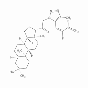 C=C(F)/C(F)=C\c1c(C)nnn1CC(=O)[C@H]1CC[C@H]2[C@@H]3CC[C@@H]4C[C@](C)(O)CC[C@]4(C)[C@H]3CC[C@]12C